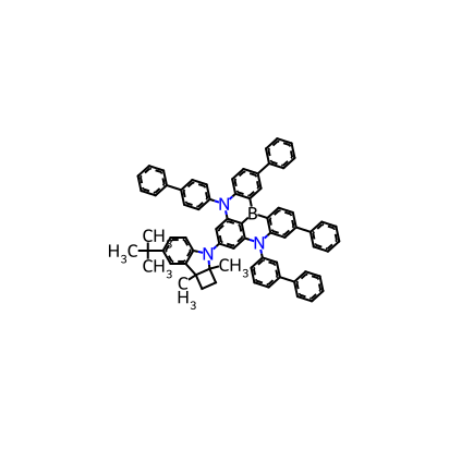 CC(C)(C)c1ccc2c(c1)C1(C)CCC1(C)N2c1cc2c3c(c1)N(c1cccc(-c4ccccc4)c1)c1cc(-c4ccccc4)ccc1B3c1cc(-c3ccccc3)ccc1N2c1ccc(-c2ccccc2)cc1